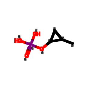 CC1CC1OP(=O)(O)O